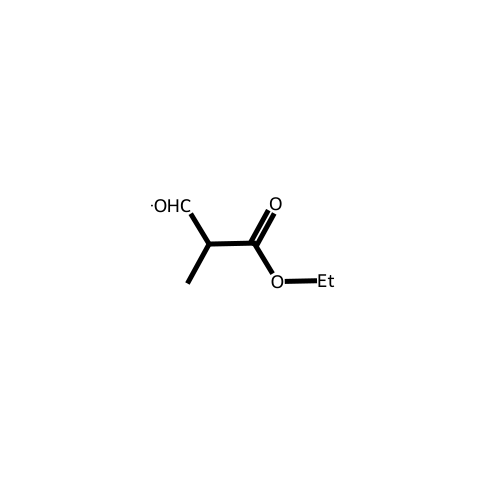 CCOC(=O)C(C)[C]=O